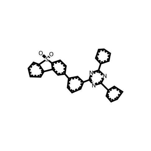 O=S1(=O)c2ccccc2-c2cc(-c3cccc(-c4nc(-c5ccccc5)nc(-c5ccccc5)n4)c3)ccc21